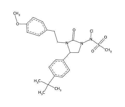 COc1ccc(CCN2C(=O)N(N(Cl)S(C)(=O)=O)CC2c2ccc(C(C)(C)C)cc2)cc1